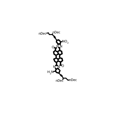 CCCCCCCCCCCCC(C#Cc1cc(N)c2nc3c4ccc5c6ccc7c(=O)n8c9cc(C#CC(CCCCCCCCCC)CCCCCCCCCCCC)cc([N+](=O)[O-])c9nc8c8ccc(c9ccc(c(=O)n3c2c1)c4c59)c6c78)CCCCCCCCCC